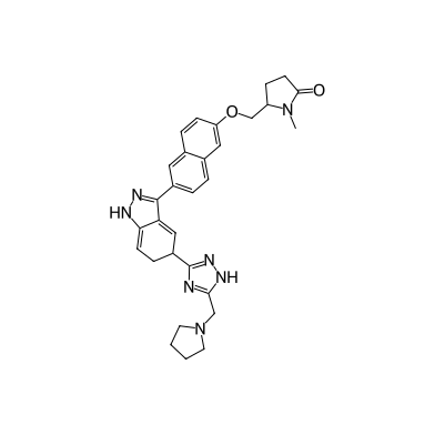 CN1C(=O)CCC1COc1ccc2cc(-c3n[nH]c4c3=CC(c3n[nH]c(CN5CCCC5)n3)CC=4)ccc2c1